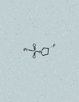 CC(C)S(=O)(=O)N1CC[C@@H](F)C1